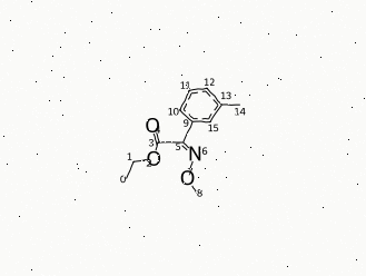 CCOC(=O)C(=NOC)c1cccc(C)c1